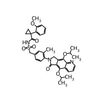 COc1ccccc1C1(C(=O)NS(=O)(=O)Cc2ccc(N3Cc4c(c(OC(C)C)c5cccnc5c4OC(C)C)C3=O)c(C)c2)CC1